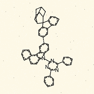 c1ccc(-c2nc(-c3ccccc3)nc(-n3c4ccc(-c5ccc6c(c5)-c5ccccc5C65C6CC7CC(C6)CC5C7)cc4c4c5ccccc5ccc43)n2)cc1